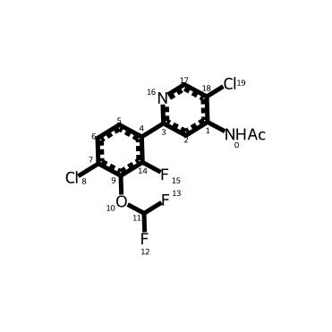 CC(=O)Nc1cc(-c2ccc(Cl)c(OC(F)F)c2F)ncc1Cl